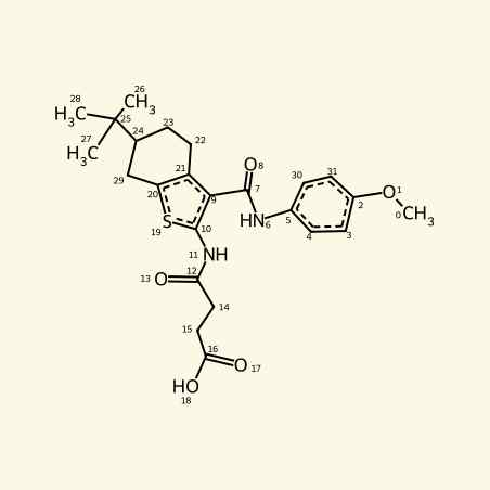 COc1ccc(NC(=O)c2c(NC(=O)CCC(=O)O)sc3c2CCC(C(C)(C)C)C3)cc1